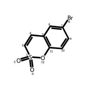 O=S1(=O)C=Cc2cc(Br)ccc2O1